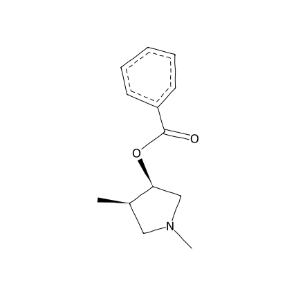 C[C@@H]1CN(C)C[C@@H]1OC(=O)c1ccccc1